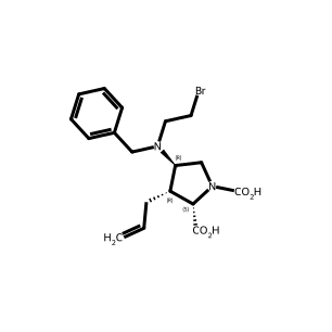 C=CC[C@H]1[C@@H](C(=O)O)N(C(=O)O)C[C@@H]1N(CCBr)Cc1ccccc1